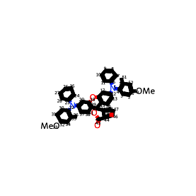 COc1ccc(N(c2ccccc2)c2ccc3c(c2)Oc2cc(N(c4ccccc4)c4ccc(OC)cc4C)ccc2C32OC(=O)c3ccccc32)c(C)c1